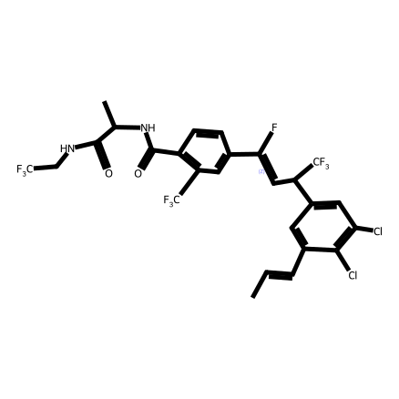 CC=Cc1cc(C(/C=C(\F)c2ccc(C(=O)NC(C)C(=O)NCC(F)(F)F)c(C(F)(F)F)c2)C(F)(F)F)cc(Cl)c1Cl